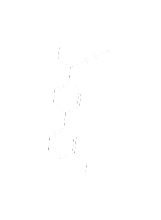 CC#CC(CC(=O)O)c1ccc(-c2cccc(OCC)c2)cc1